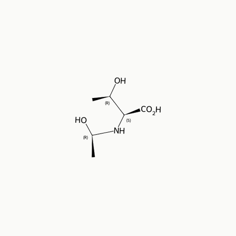 C[C@@H](O)N[C@H](C(=O)O)[C@@H](C)O